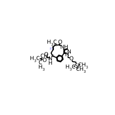 C[C@@H]1/C=C/C[C@H](NC(=O)OC(C)(C)C)c2cccc(c2)-c2c(cnn2COCC[Si](C)(C)C)NC1=O